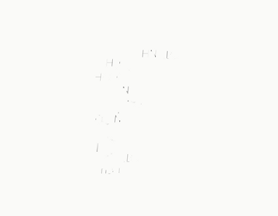 CCCCc1ccc(C(=O)N[C@H]2CCN([C@H]3CC[C@@H](NC(C)(C)C)C[C@@]3(C)C(=O)O)C2=O)cc1C(C)(C)C